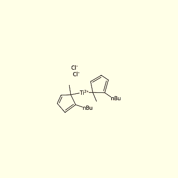 CCCCC1=CC=C[C]1(C)[Ti+2][C]1(C)C=CC=C1CCCC.[Cl-].[Cl-]